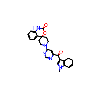 Cn1cc(C(=O)c2cc(N3CCC4(CC3)OC(=O)Nc3ccccc34)ncn2)c2c1C=CCC2